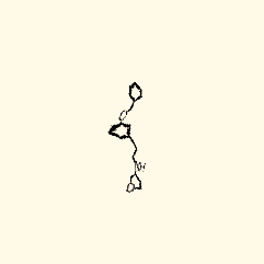 c1ccc(COc2cccc(CCNC3CCOC3)c2)cc1